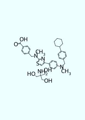 CN(Cc1ccc(C2CCCCC2)cc1)c1ccc(-c2csc(N(C)Cc3ccc(C(=O)O)cc3)n2)cc1.NC(CO)(CO)CO